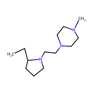 CCC1CCCN1CCN1CCN(C)CC1